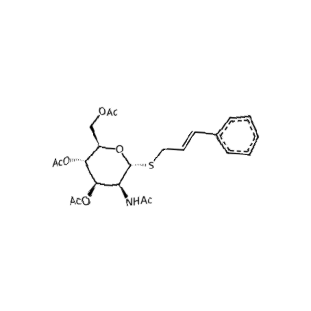 CC(=O)N[C@H]1[C@@H](OC(C)=O)[C@H](OC(C)=O)[C@@H](COC(C)=O)O[C@@H]1SC/C=C/c1ccccc1